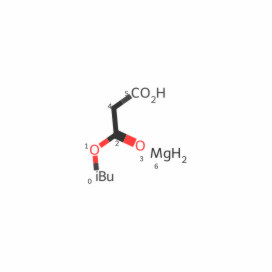 CCC(C)OC(=O)CC(=O)O.[MgH2]